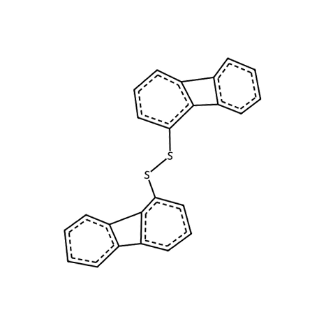 c1ccc2c(c1)-c1cccc(SSc3cccc4c3-c3ccccc3-4)c1-2